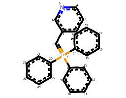 C(c1cccnc1)=P(c1ccccc1)(c1ccccc1)c1ccccc1